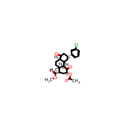 COC(=O)[C@@H]1C[C@H](OC(C)=O)C(=O)[C@@H]2[C@H]3C[C@@H](c4cccc(Cl)c4)CC(=O)[C@@H]3CC[C@]21C